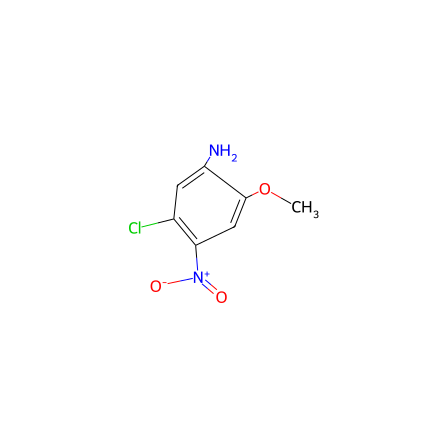 COc1cc([N+](=O)[O-])c(Cl)cc1N